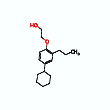 CCCc1cc(C2CCCCC2)ccc1OCCO